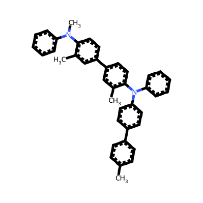 Cc1ccc(-c2ccc(N(c3ccccc3)c3ccc(-c4ccc(N(C)c5ccccc5)c(C)c4)cc3C)cc2)cc1